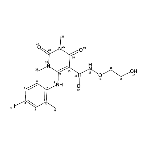 Cc1cc(I)ccc1Nc1c(C(=O)NOCCO)c(=O)n(C)c(=O)n1C